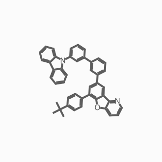 CC(C)(C)c1ccc(-c2cc(-c3cccc(-c4cccc(-n5c6ccccc6c6ccccc65)c4)c3)cc3c2oc2cccnc23)cc1